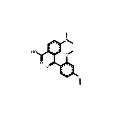 COc1ccc(C(=O)c2cc(N(C)C)ccc2C(=O)O)c(OC)c1